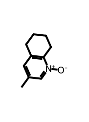 Cc1cc2c([n+]([O-])c1)CCCC2